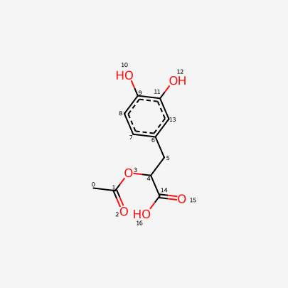 CC(=O)OC(Cc1ccc(O)c(O)c1)C(=O)O